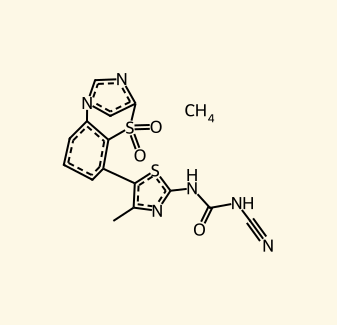 C.Cc1nc(NC(=O)NC#N)sc1-c1cccc2c1S(=O)(=O)c1cn-2cn1